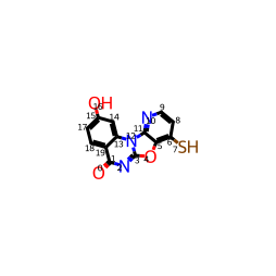 O=c1nc2oc3c(S)ccnc3n2c2cc(O)ccc12